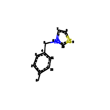 Cc1ccc(C[n+]2ccsc2)cc1